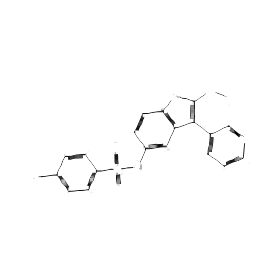 CCOC(=O)Oc1[nH]c2ccc(NS(=O)(=O)c3ccc(C(C)(C)C)cc3)cc2c1-c1cccnc1